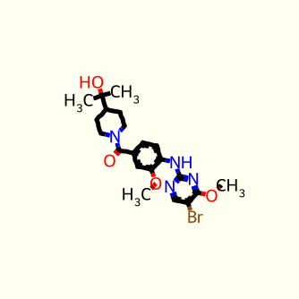 COc1cc(C(=O)N2CCC(C(C)(C)O)CC2)ccc1Nc1ncc(Br)c(OC)n1